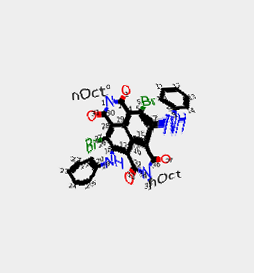 CCCCCCCCN1C(=O)c2c(Br)c(Nc3ccccc3)c3c4c(c(Nc5ccccc5)c(Br)c(c24)C1=O)C(=O)N(CCCCCCCC)C3=O